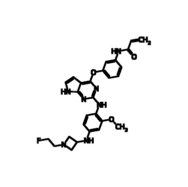 C=CC(=O)Nc1cccc(Oc2nc(Nc3ccc(NC4CN(CCF)C4)cc3OC)nc3[nH]ccc23)c1